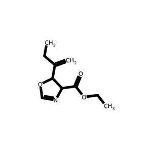 C=C(CC)C1OC=NC1C(=O)OCC